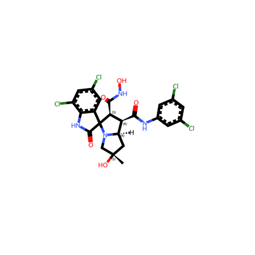 C[C@]1(O)C[C@@H]2[C@H](C(=O)Nc3cc(Cl)cc(Cl)c3)[C@H](C(=O)NO)C3(C(=O)Nc4c(Cl)cc(Cl)cc43)N2C1